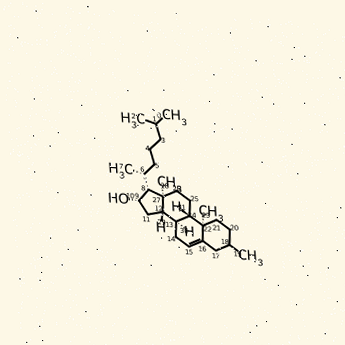 CC(C)CCC[C@@H](C)[C@H]1[C@@H](O)C[C@H]2[C@@H]3CC=C4CC(C)CC[C@]4(C)[C@H]3CC[C@]12C